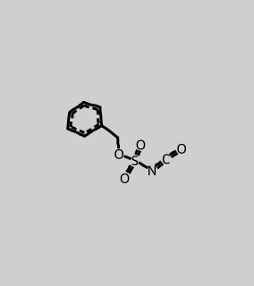 O=C=NS(=O)(=O)OCc1ccccc1